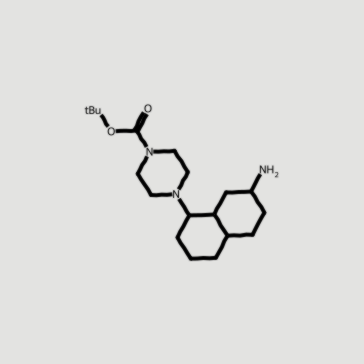 CC(C)(C)OC(=O)N1CCN(C2CCCC3CCC(N)CC32)CC1